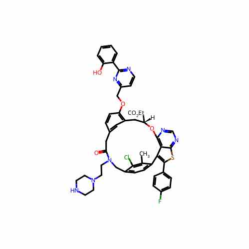 CCOC(=O)[C@H]1Cc2cc(ccc2OCc2ccnc(-c3ccccc3O)n2)CC(=O)N(CCN2CCNCC2)Cc2ccc(c(C)c2Cl)-c2c(-c3ccc(F)cc3)sc3ncnc(c23)O1